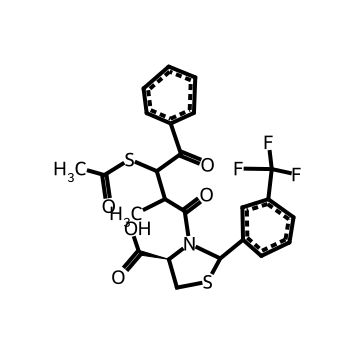 CC(=O)SC(C(=O)c1ccccc1)C(C)C(=O)N1C(c2cccc(C(F)(F)F)c2)SC[C@H]1C(=O)O